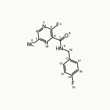 N#Cc1cnc(F)c(C(=O)NCc2ccc(F)cc2)n1